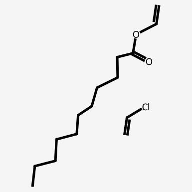 C=CCl.C=COC(=O)CCCCCCCCCC